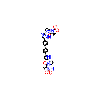 COC(=O)N[C@H](C(=O)N1CCC[C@H]1c1ccc(-c2ccc(-c3ccc(-c4cnc([C@@H]5CCCN5C(=O)C5(NC(=O)OC)CC5)[nH]4)cc3)cc2)[nH]1)C(C)C